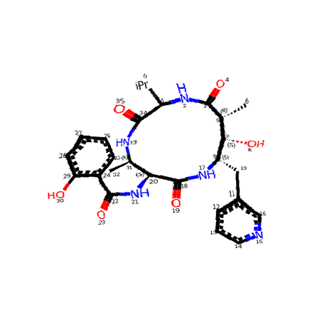 CC(C)C1NC(=O)[C@H](C)[C@H](O)[C@H](Cc2cccnc2)NC(=O)[C@@H](NC(=O)c2ccccc2O)[C@@H](C)NC1=O